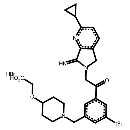 Br.CC(C)(C)c1cc(CN2CCC(OCC(=O)O)CC2)cc(C(=O)CN2Cc3ccc(C4CC4)nc3C2=N)c1